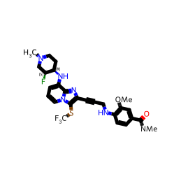 CNC(=O)c1ccc(NCC#Cc2nc3c(N[C@@H]4CCN(C)C[C@@H]4F)cccn3c2SC(F)(F)F)c(OC)c1